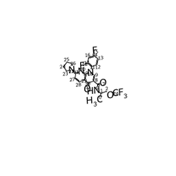 CC(COC(F)(F)F)NC(=O)c1cn(-c2ccc(F)cc2F)c2nc(N3CCCC3)ccc2c1=O